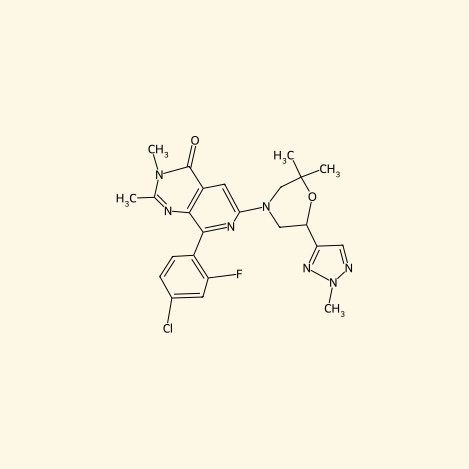 Cc1nc2c(-c3ccc(Cl)cc3F)nc(N3CC(c4cnn(C)n4)OC(C)(C)C3)cc2c(=O)n1C